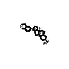 CC(C)O[C@H]1CC[C@@]2(C)C(=CC[C@H]3[C@@H]4CC[C@H](c5ccc6cnccc6c5)[C@@]4(C)CC[C@@H]32)C1